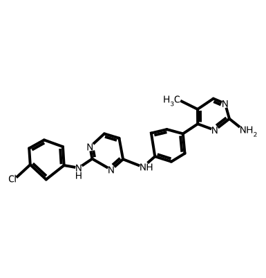 Cc1cnc(N)nc1-c1ccc(Nc2ccnc(Nc3cccc(Cl)c3)n2)cc1